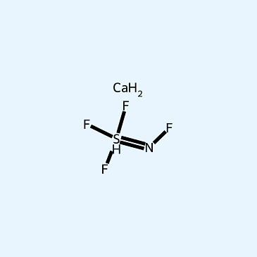 FN=[SH](F)(F)F.[CaH2]